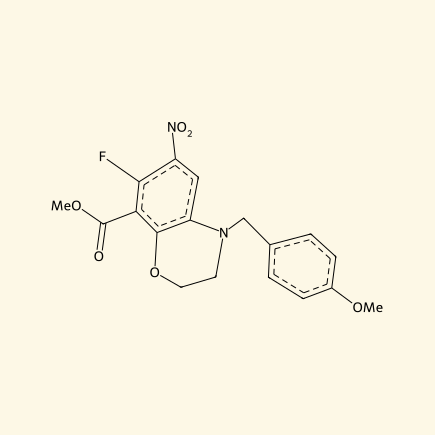 COC(=O)c1c(F)c([N+](=O)[O-])cc2c1OCCN2Cc1ccc(OC)cc1